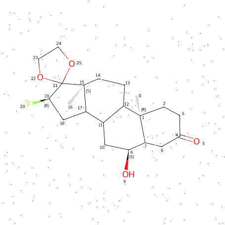 C[C@]12CCC(=O)CC1[C@@H](O)CC1C2CC[C@@]2(C)C1C[C@@H](F)C21OCCO1